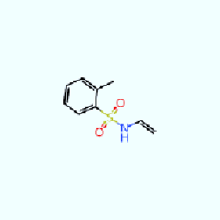 C=CNS(=O)(=O)c1ccccc1C